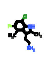 Cc1[nH]c2c(Cl)cc(F)c(C)c2c1CCN